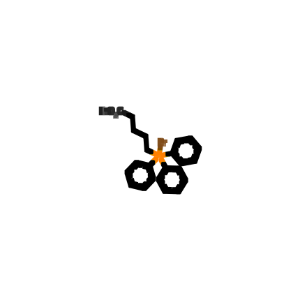 CCOC(=O)CCCCP(Br)(c1ccccc1)(c1ccccc1)c1ccccc1